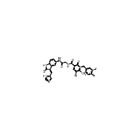 Cc1c(Br)cc(C(=O)NCC(=O)Nc2ccc3c(c2)C(=Cc2cnc[nH]2)C(=O)N3)c(=O)n1Cc1ccc(F)c(F)c1